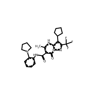 Cc1[nH]c2c(C3CCCC3)c(C(F)(F)F)nn2c(=O)c1C(=O)Nc1ccccc1N1CCCC1